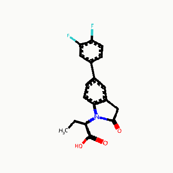 CCC(C(=O)O)N1C(=O)Cc2cc(-c3ccc(F)c(F)c3)ccc21